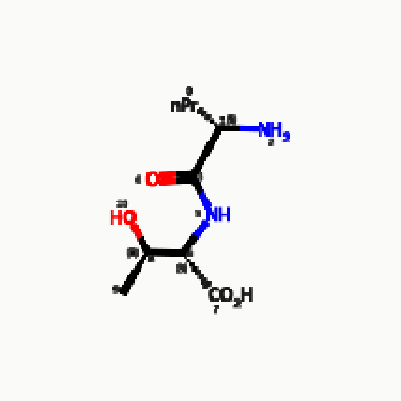 CCC[C@H](N)C(=O)N[C@H](C(=O)O)[C@@H](C)O